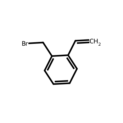 C=Cc1ccccc1CBr